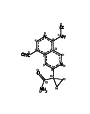 CCNc1ncc(C=O)c2cc(C3(C(N)=O)CC3)ncc12